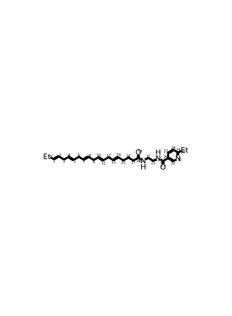 CCC=CCC=CCC=CCC=CCC=CCCCC(=O)NCCNC(=O)c1ccc(CC)nc1